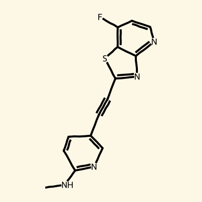 CNc1ccc(C#Cc2nc3nccc(F)c3s2)cn1